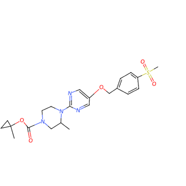 CC1CN(C(=O)OC2(C)CC2)CCN1c1ncc(OCc2ccc(S(C)(=O)=O)cc2)cn1